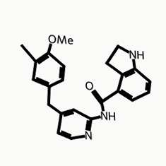 COc1ccc(Cc2ccnc(NC(=O)c3cccc4c3CCN4)c2)cc1C